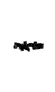 COC(=O)C(C(=O)OC)N1CCN(CC=CC(=O)Nc2cc3c(Nc4ccc(F)c(Cl)c4)ncnc3cc2OCC2CC2)CC1